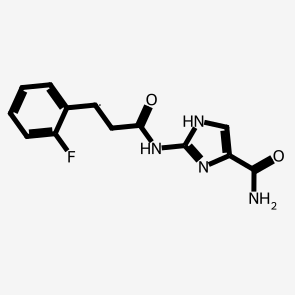 NC(=O)c1c[nH]c(NC(=O)C[CH]c2ccccc2F)n1